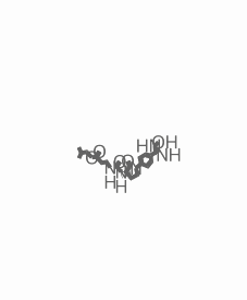 CC(C)COC(=O)CCNC(=O)N[C@H]1CCN(c2ccc(C(=N)NO)cc2)C1=O